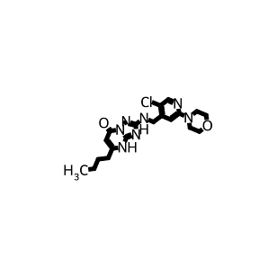 CCCCc1cc(=O)n2nc(NCc3cc(N4CCOCC4)ncc3Cl)nc2[nH]1